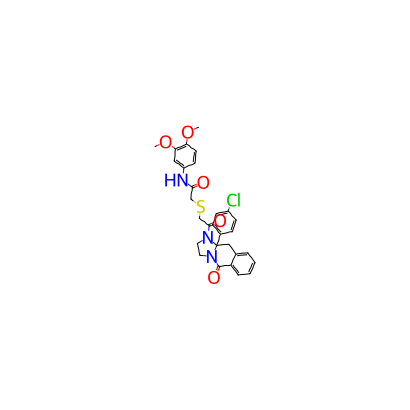 COc1ccc(NC(=O)CSCC(=O)N2CCN3C(=O)c4ccccc4CC23c2ccc(Cl)cc2)cc1OC